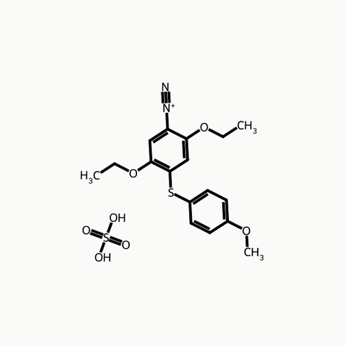 CCOc1cc(Sc2ccc(OC)cc2)c(OCC)cc1[N+]#N.O=S(=O)(O)O